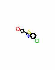 O=C1CC(c2nc3cc(Cl)ccc3s2)C1